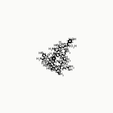 CC[C@H](C)[C@H](NC(=O)[C@@H]1C[C@@H](O)CN1C(=O)[C@@H](N)C(C)C)C(=O)N[C@H](C(=O)N[C@@H](Cc1ccc(O)cc1)C(=O)N[C@H](C(=O)N[C@@H](CC(N)=O)C(=O)N[C@@H](CCCNC(=N)N)C(=O)N[C@@H](CCN)C(=O)N[C@H](C(=O)N[C@H](CCN)C(=O)N[C@@H](CCCN)C(=O)N[C@@H](CCN)C(=O)N[C@H](C(=O)N[C@@H](CS)C(=O)N[C@@H](Cc1ccc(O)cc1)C(=O)O)[C@@H](C)O)[C@@H](C)O)[C@@H](C)O)C(C)(C)S